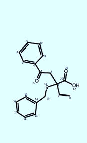 CCC(CC(=O)c1ccccc1)(SCc1ccccc1)C(=O)O